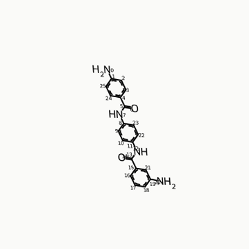 Nc1ccc(C(=O)Nc2ccc(NC(=O)c3cccc(N)c3)cc2)cc1